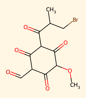 COC1C(=O)C(C=O)C(=O)C(C(=O)C(C)CBr)C1=O